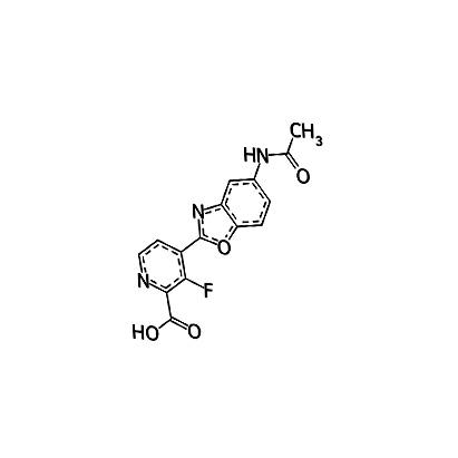 CC(=O)Nc1ccc2oc(-c3ccnc(C(=O)O)c3F)nc2c1